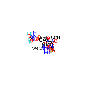 C#CCN1C(=O)COc2cc(F)c(N3C(=O)C4=C(CCCC4)C3=O)cc21.CCS(=O)(=O)c1cccnc1S(=O)(=O)NC(=O)Nc1nc(OC)cc(OC)n1.O=C(Nc1nc(OC(F)F)cc(OC(F)F)n1)NS(=O)(=O)c1ccccc1C(=O)O